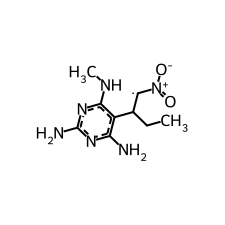 CCC([CH][N+](=O)[O-])c1c(N)nc(N)nc1NC